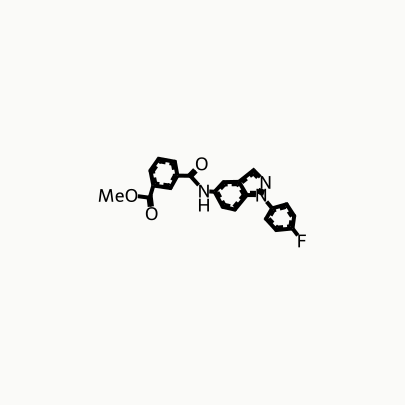 COC(=O)c1cccc(C(=O)Nc2ccc3c(cnn3-c3ccc(F)cc3)c2)c1